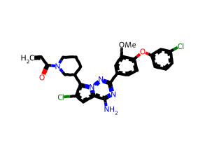 C=CC(=O)N1CCCC(c2c(Cl)cc3c(N)nc(-c4ccc(Oc5cccc(Cl)c5)c(OC)c4)nn23)C1